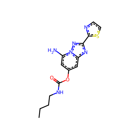 CCCCNC(=O)Oc1cc(N)n2nc(-c3nccs3)nc2c1